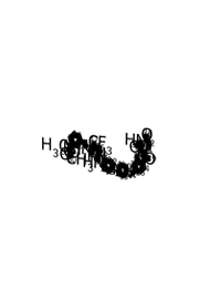 CN(c1cccc(CNc2nc(Nc3ccc(N4CCN(Cc5ccc6c(c5)CN(N5CCC(=O)NC5=O)C6=O)CC4)cc3)ncc2C(F)(F)F)c1)S(C)(=O)=O